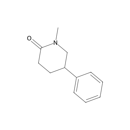 CN1CC(c2ccccc2)CCC1=O